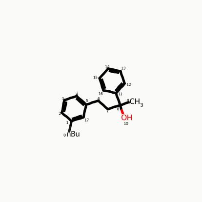 CCCCc1cccc(CCC(C)(O)c2ccccc2)c1